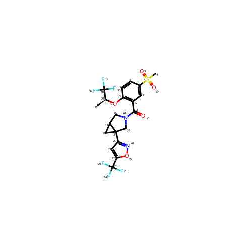 C[C@H](Oc1ccc(S(C)(=O)=O)cc1C(=O)N1CC2CC2(c2cc(C(F)(F)F)on2)C1)C(F)(F)F